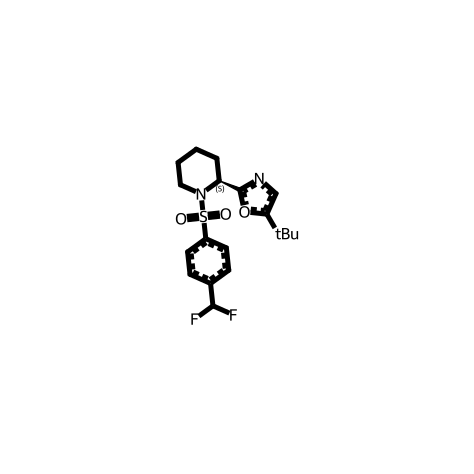 CC(C)(C)c1cnc([C@@H]2CCCCN2S(=O)(=O)c2ccc(C(F)F)cc2)o1